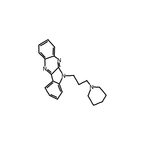 c1ccc2nc3c(nc2c1)c1ccccc1n3CCCN1CCCCC1